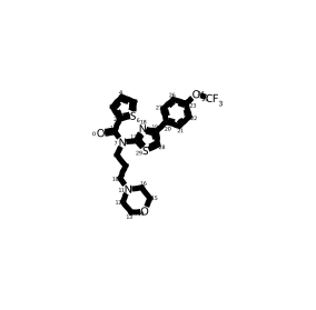 O=C(c1cccs1)N(CCCN1CCOCC1)c1nc(-c2ccc(OC(F)(F)F)cc2)cs1